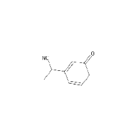 CC(C#N)C1=CC(=O)CC=C1